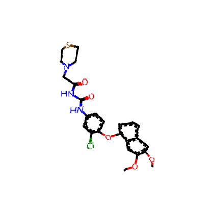 COc1cc2cccc(Oc3ccc(NC(=O)NC(=O)CN4CCSCC4)cc3Cl)c2cc1OC